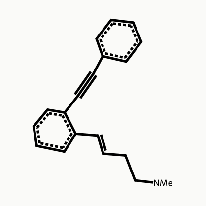 CNCC/C=C/c1ccccc1C#Cc1ccccc1